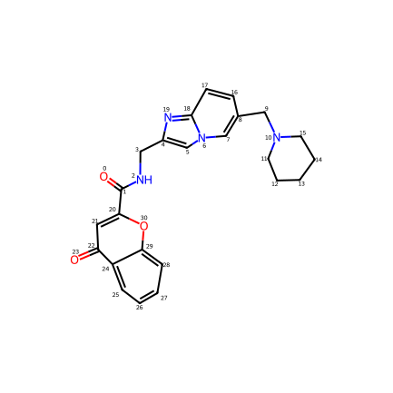 O=C(NCc1cn2cc(CN3CCCCC3)ccc2n1)c1cc(=O)c2ccccc2o1